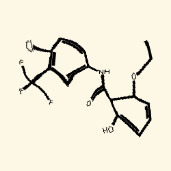 CCOC1C=CC=C(O)C1C(=O)Nc1ccc(Cl)c(C(F)(F)F)c1